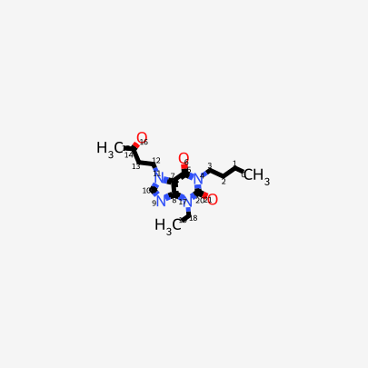 CCCCn1c(=O)c2c(ncn2CCC(C)=O)n(CC)c1=O